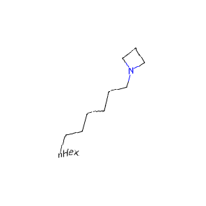 CCCCCCCCCCCCN1CCC1